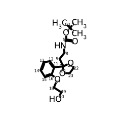 CC(C)(C)OC(=O)NCCC1(c2ccccc2OCCO)OCCO1